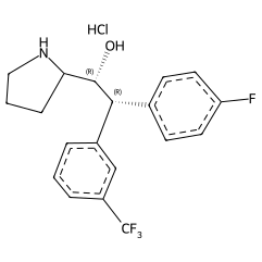 Cl.O[C@@H](C1CCCN1)[C@H](c1ccc(F)cc1)c1cccc(C(F)(F)F)c1